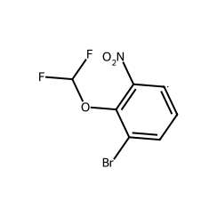 O=[N+]([O-])c1[c]ccc(Br)c1OC(F)F